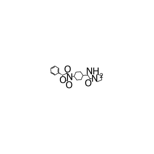 N[C@H](C(=O)N1CCCC1)C1CCC(N2C(=O)O[C@@H](c3ccccc3)C2=O)CC1